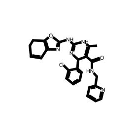 CC1=C(C(=O)NCc2ccccn2)C(c2ccccc2Cl)N=C(Nc2nc3c(o2)CCC=C3)N1